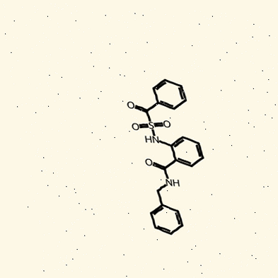 O=C(NCc1ccccc1)c1ccccc1NS(=O)(=O)C(=O)c1ccccc1